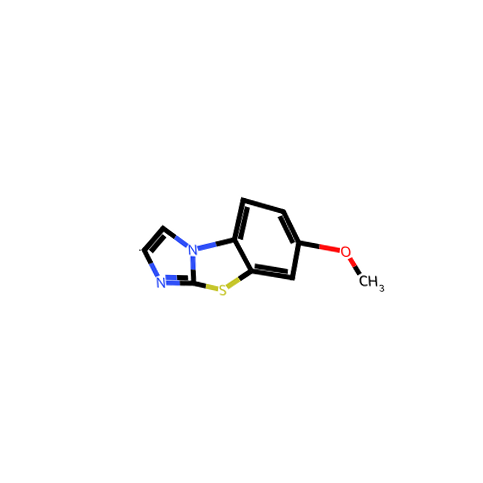 COc1ccc2c(c1)sc1n[c]cn12